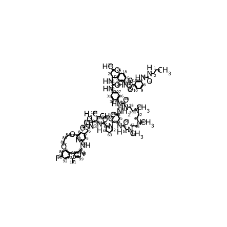 CCCNC(=O)Nc1cccc(S(=O)(=O)Nc2cccc(C(CC(=O)O)NC(=O)Nc3ccc(NC(=O)NCCN(C)CCN(C)CCN(C)CC(=O)NC(CC(N)=O)C(=O)N4CCCC4C(=O)NC(C(=O)N=S(C)(=O)Cc4cc5nc(c4)OCCCOc4cc(F)ccc4-c4cc(ncc4F)N5)C(C)C)cc3)c2)c1